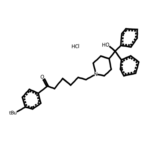 CC(C)(C)c1ccc(C(=O)CCCCCN2CCC(C(O)(c3ccccc3)c3ccccc3)CC2)cc1.Cl